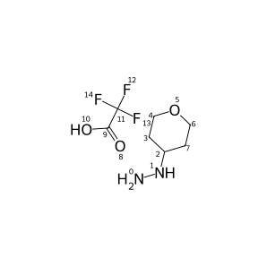 NNC1CCOCC1.O=C(O)C(F)(F)F